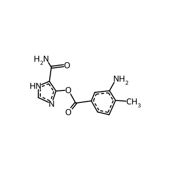 Cc1ccc(C(=O)Oc2nc[nH]c2C(N)=O)cc1N